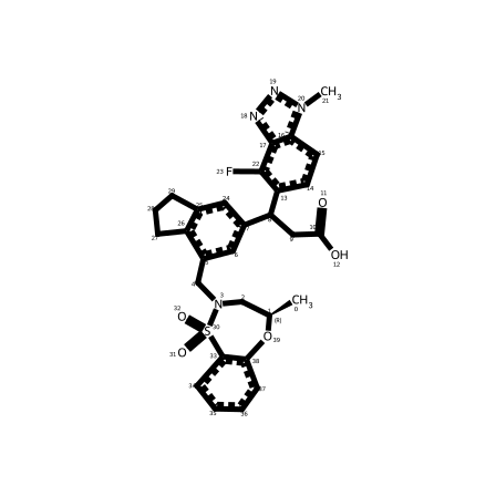 C[C@@H]1CN(Cc2cc(C(CC(=O)O)c3ccc4c(nnn4C)c3F)cc3c2CCC3)S(=O)(=O)c2ccccc2O1